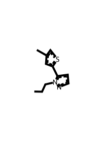 CCCn1nccc1-c1cc(C)cs1